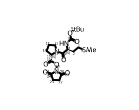 CSCC[C@H](NC(=O)OC(C)(C)C)C(=O)N1CCC[C@H]1C(=O)ON1C(=O)CCC1=O